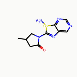 CC1CC(=O)N(C2=Nc3cncnc3[SH]2N)C1